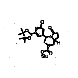 CC(C)(C)OC(=O)N1CC(c2cc(Cl)nc(B3OC(C)(C)C(C)(C)O3)c2)N2C(=O)CC[C@@H]2C1